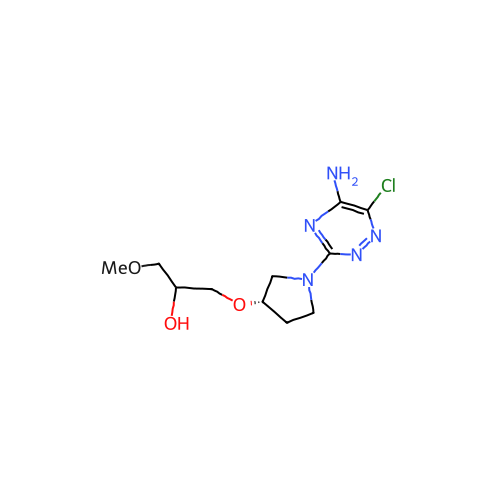 COCC(O)CO[C@H]1CCN(c2nnc(Cl)c(N)n2)C1